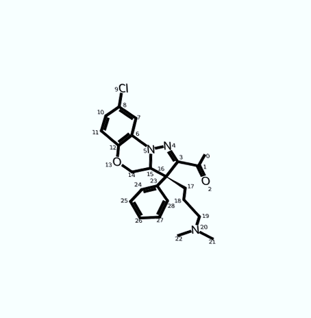 CC(=O)C1=NN2c3cc(Cl)ccc3OCC2[C@@]1(CCCN(C)C)c1ccccc1